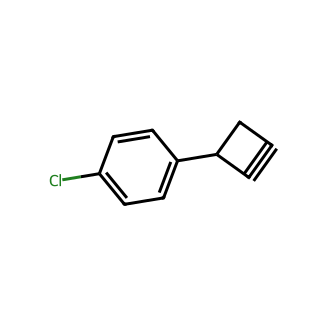 Clc1ccc(C2C#CC2)cc1